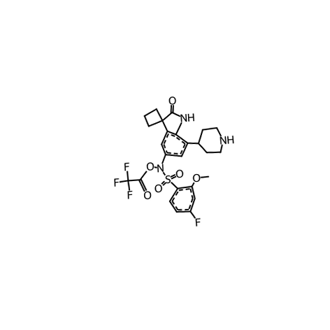 COc1cc(F)ccc1S(=O)(=O)N(OC(=O)C(F)(F)F)c1cc(C2CCNCC2)c2c(c1)C1(CCC1)C(=O)N2